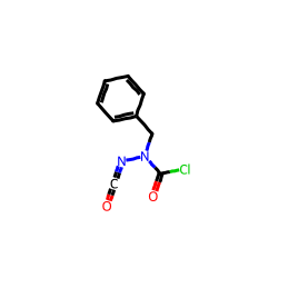 O=C=NN(Cc1ccccc1)C(=O)Cl